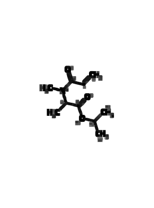 C=CC(=O)N(C)C(C)C(=O)OC(C)C